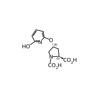 O=C(O)[C@@H]1C[C@@H](Oc2cccc(O)n2)CN1C(=O)O